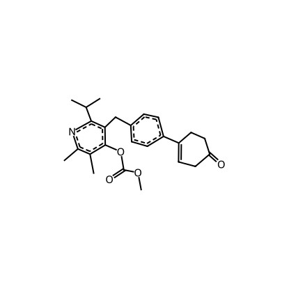 COC(=O)Oc1c(C)c(C)nc(C(C)C)c1Cc1ccc(C2=CCC(=O)CC2)cc1